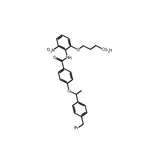 CC(C)Cc1ccc(C(C)Oc2ccc(C(=O)Nc3c(OCCCC(=O)O)cccc3[N+](=O)[O-])cc2)cc1